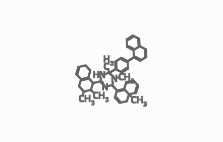 CC1CC2=C(CCC=C2)C(C2=NC(C3=C4C=CC=CC4(C)CC=C3)N(C)C(C)(c3ccc(-c4cccc5ccccc45)cc3)N2)C1C